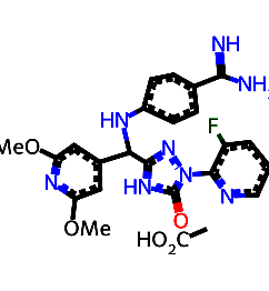 CC(=O)O.COc1cc(C(Nc2ccc(C(=N)N)cc2)c2nn(-c3ncccc3F)c(=O)[nH]2)cc(OC)n1